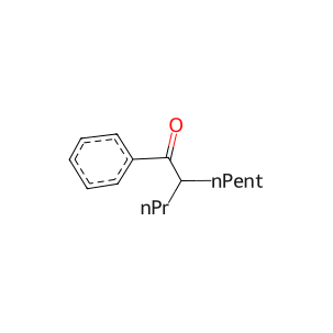 CCCCCC(CCC)C(=O)c1ccccc1